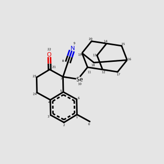 Cc1ccc2c(c1)C(C#N)([Se]C1C3CC4CC(C3)CC1C4)C(=O)CC2